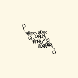 CCCCCCCCCCCCC(CCCCCCCCCC)CN1C(=O)C2=C(c3ncc(-c4ccc(-c5cc(CCCc6ccccc6)cs5)s4)s3)N(CC(CCCCCCCCCC)CCCCCCCCCCCC)C(=O)C2=C1c1ncc(C2=CCC(C3CC(CCCc4ccccc4)=CS3)S2)s1